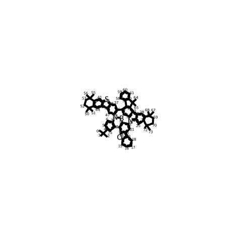 CC(C)(C)c1ccc(N2B3c4cc5oc6ccccc6c5cc4-n4c5cc6c(cc5c5c7c(c(c3c54)-c3cc4sc5cc8c(cc5c4cc32)C(C)(C)CCC8(C)C)-c2ccccc2C7(C)C)C(C)(C)CCC6(C)C)cc1